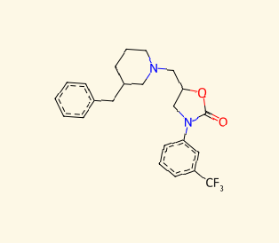 O=C1OC(CN2CCCC(Cc3ccccc3)C2)CN1c1cccc(C(F)(F)F)c1